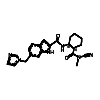 CN(C#N)C(=O)[C@@H]1CCCC[C@@H]1NC(=O)c1cc2ccc(Cn3ccnc3)cc2[nH]1